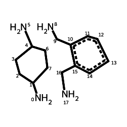 NC1CCC(N)CC1.NCc1ccccc1CN